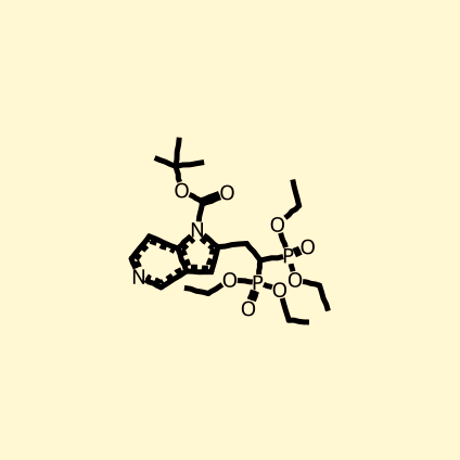 CCOP(=O)(OCC)C(Cc1cc2cnccc2n1C(=O)OC(C)(C)C)P(=O)(OCC)OCC